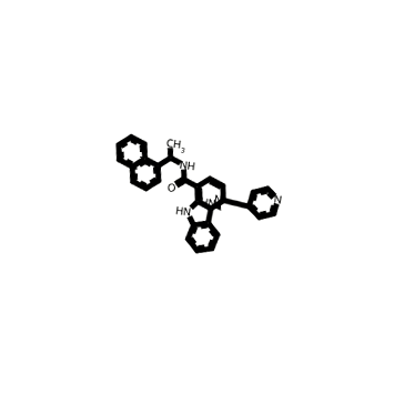 CC(NC(=O)C1=C2Nc3ccccc3C23NCN(c2ccncc2)C3C=C1)c1cccc2ccccc12